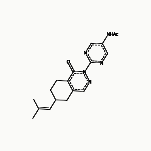 CC(=O)Nc1cnc(-n2ncc3c(c2=O)CCC(C=C(C)C)C3)nc1